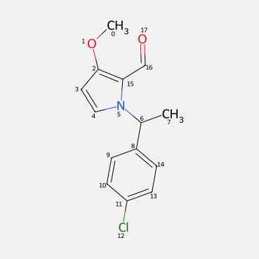 COc1ccn(C(C)c2ccc(Cl)cc2)c1C=O